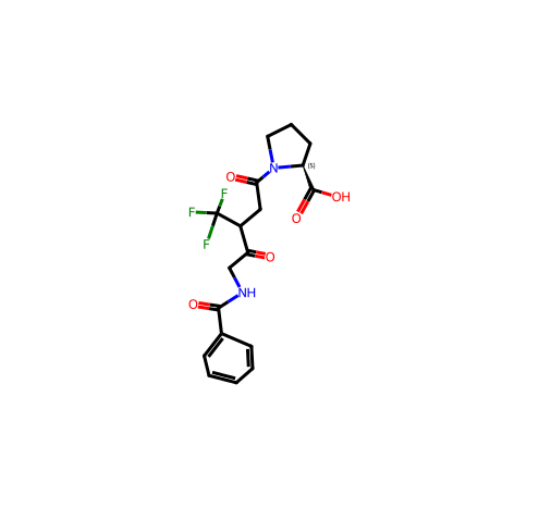 O=C(NCC(=O)C(CC(=O)N1CCC[C@H]1C(=O)O)C(F)(F)F)c1ccccc1